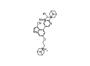 COC(CN1C2CC1CN(c1ccc(-c3cc(OCCN4CC5CC(C4)N5C)cn4ncc(C#N)c34)cn1)C2)C(C)C